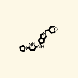 c1cc(N2CCCC2)nnc1NC1CC2CN(CC3CCOCC3)CC2C1